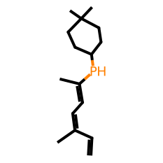 C=C/C(C)=C\C=C(/C)PC1CCC(C)(C)CC1